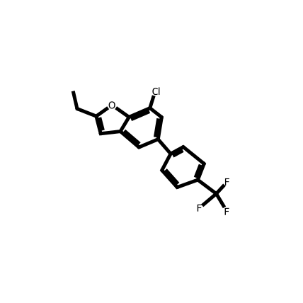 CCc1cc2cc(-c3ccc(C(F)(F)F)cc3)cc(Cl)c2o1